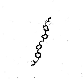 C=CC(=O)Oc1ccc(-c2ccc(CCc3ccc(-c4ccc(OC(=O)C=C)cc4)cc3)cc2)cc1